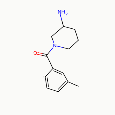 Cc1cc[c]c(C(=O)N2CCCC(N)C2)c1